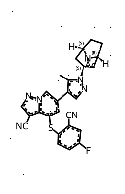 CC(=O)N1[C@@H]2CC[C@H]1C[C@H](n1ncc(-c3cc(Sc4ccc(F)cc4C#N)c4c(C#N)cnn4c3)c1C)C2